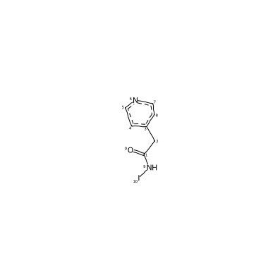 O=C(Cc1ccncc1)NI